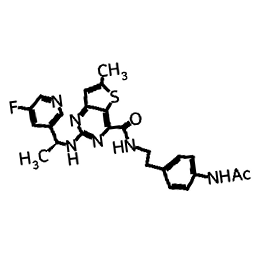 CC(=O)Nc1ccc(CCNC(=O)c2nc(N[C@@H](C)c3cncc(F)c3)nc3cc(C)sc23)cc1